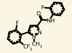 Cn1nc(C(=O)Nc2ccccc2F)cc1-c1c(F)cccc1C(F)(F)F